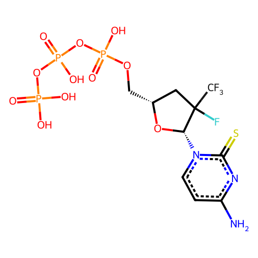 Nc1ccn([C@@H]2O[C@H](COP(=O)(O)OP(=O)(O)OP(=O)(O)O)CC2(F)C(F)(F)F)c(=S)n1